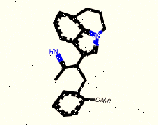 COc1ccccc1CC(C(C)=N)c1cn2c3c(cccc13)CCC2